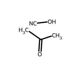 CC(C)=O.N#CO